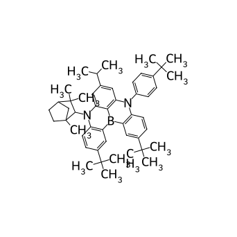 CC(C)c1cc2c3c(c1)N(C1C4(C)CCC(C4)C1(C)C)c1ccc(C(C)(C)C)cc1B3c1cc(C(C)(C)C)ccc1N2c1ccc(C(C)(C)C)cc1